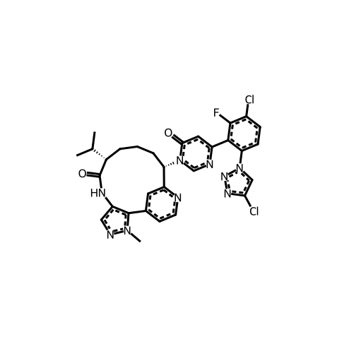 CC(C)[C@@H]1CCC[C@H](n2cnc(-c3c(-n4cc(Cl)nn4)ccc(Cl)c3F)cc2=O)c2cc(ccn2)-c2c(cnn2C)NC1=O